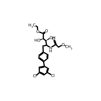 CCOC(=O)[C@H](O)[C@@H](O)C(Cc1ccc(-c2cc(Cl)cc(Cl)c2)cc1)NC(=O)COC